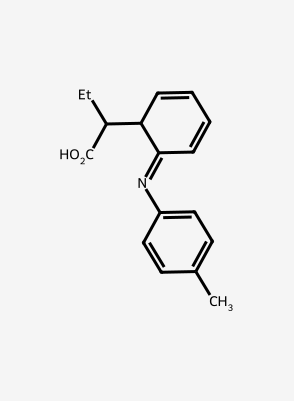 CCC(C(=O)O)C1C=CC=CC1=Nc1ccc(C)cc1